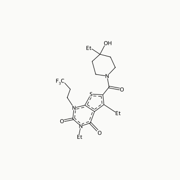 CCc1c(C(=O)N2CCC(O)(CC)CC2)sc2c1c(=O)n(CC)c(=O)n2CCC(F)(F)F